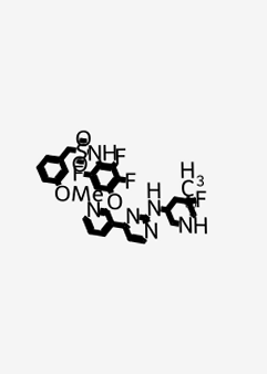 COc1cccc(CS(=O)(=O)Nc2c(F)cc(Oc3ncccc3-c3ccnc(NC4CNC[C@@](C)(F)C4)n3)c(F)c2F)c1